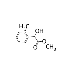 COC(=O)C(O)c1ccccc1C